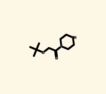 CC(C)(C)OCC(=O)N1CCNCC1